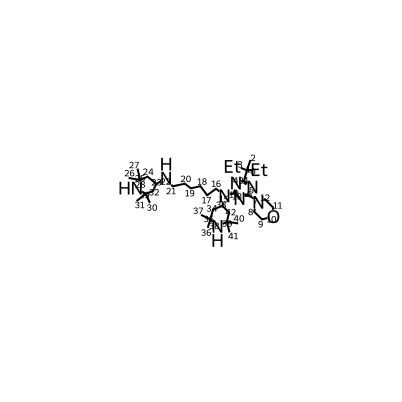 CCC(C)(CC)c1nc(N2CCOCC2)nc(N(CCCCCCNC2CC(C)(C)NC(C)(C)C2)C2CC(C)(C)NC(C)(C)C2)n1